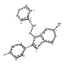 Fc1ccc(-c2nc3ccc(Cl)cn3c2CNc2ncccn2)cc1